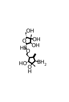 B[C@@H]1C(=C)[C@H](COB[C@@H]2O[C@H](CO)[C@](C)(O)[C@H]2O)[C@@H](O)[C@@]1(C)O